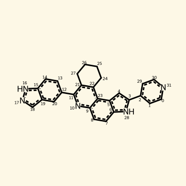 c1cc(-c2cc3c(ccc4nc(-c5ccc6[nH]ncc6c5)c5c(c43)CCCC5)[nH]2)ccn1